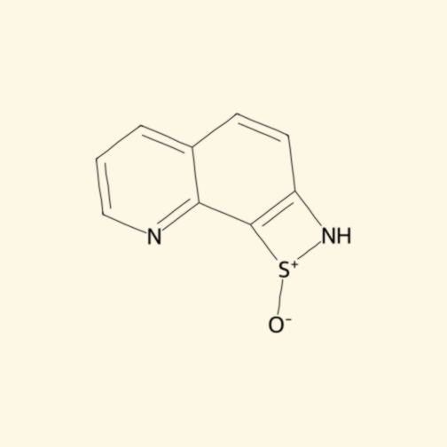 [O-][s+]1[nH]c2ccc3cccnc3c21